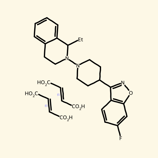 CCC1c2ccccc2CCN1N1CCC(c2noc3cc(F)ccc23)CC1.O=C(O)/C=C/C(=O)O.O=C(O)/C=C/C(=O)O